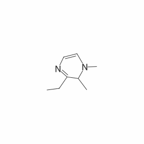 CCC1=NC=CN(C)C1C